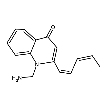 C/C=C\C=C/c1cc(=O)c2ccccc2n1CN